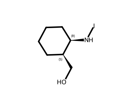 OC[C@H]1CCCC[C@H]1NI